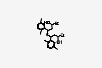 CCC(O)CC(SC(CC(O)CC)c1cc(C)ccc1C)c1cc(C)ccc1C